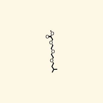 COC(=O)COCCOCCOCCC(C)C